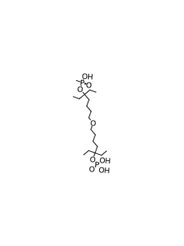 CCC(CC)(CCCCOCCCCC(CC)(CC)OP(=O)(O)O)OP(C)(=O)O